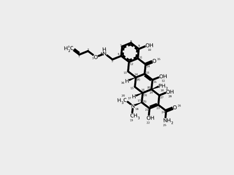 C=CCONCc1ccc(O)c2c1C[C@H]1C[C@H]3[C@H](N(C)C)C(O)=C(C(N)=O)C(O)[C@@]3(P)C(O)=C1C2=O